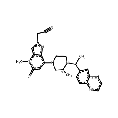 CC(c1ccc2nccnc2c1)N1CCN(c2cc(=O)n(C)c3cn(CC#N)nc23)C[C@@H]1C